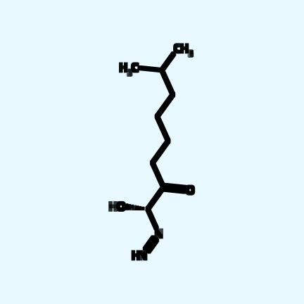 CC(C)CCCCC(=O)[C@@H](O)N=N